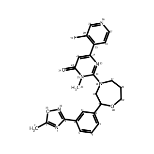 Cc1nc(-c2cccc(C3CN(c4nc(-c5ccncc5F)cc(=O)n4C)CCCO3)c2)no1